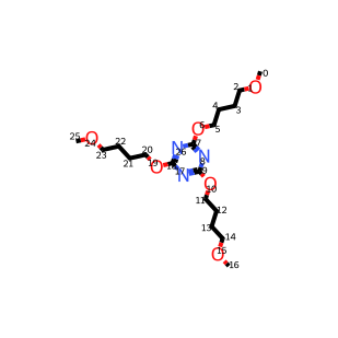 COCCCCOc1nc(OCCCCOC)nc(OCCCCOC)n1